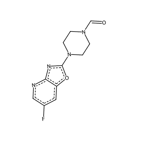 O=CN1CCN(c2nc3ncc(F)cc3o2)CC1